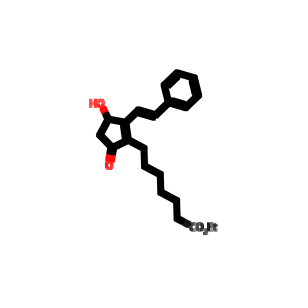 CCOC(=O)CCCCCCC1=C(C=Cc2ccccc2)C(O)CC1=O